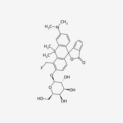 CN(C)c1ccc2c(c1)S(C)(C)c1c(ccc(O[C@@H]3O[C@H](CO)[C@H](O)[C@H](O)[C@H]3O)c1CF)C21OC(=O)c2ccccc21